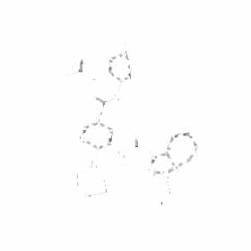 O=C(O)Cc1cc(F)ccc1NC(=O)c1cnc(N2CCCCC2)c(NC(=O)c2nn(CC(F)(F)F)c3ccccc23)c1